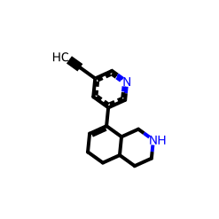 C#Cc1cncc(C2=CCCC3CCNCC23)c1